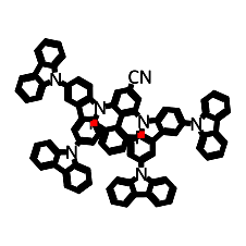 N#Cc1cc(-n2c3ccc(-n4c5ccccc5c5ccccc54)cc3c3cc(-n4c5ccccc5c5ccccc54)ccc32)c(-c2c(F)cccc2F)c(-n2c3ccc(-n4c5ccccc5c5ccccc54)cc3c3cc(-n4c5ccccc5c5ccccc54)ccc32)c1